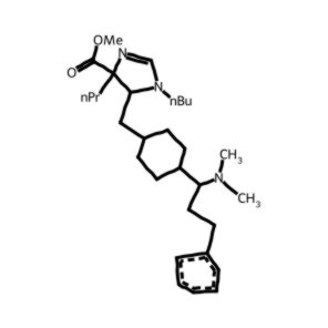 CCCCN1C=NC(CCC)(C(=O)OC)C1CC1CCC(C(CCc2ccccc2)N(C)C)CC1